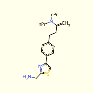 C=C(CCc1ccc(-c2csc(CN)n2)cc1)N(CCC)CCC